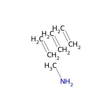 C=C.C=C.C=C.CN